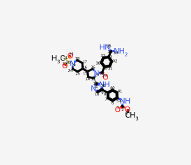 COC(=O)Nc1ccc(-c2cnc([C@@H]3CC(C4CCN(S(C)(=O)=O)CC4)CN3C(=O)c3ccc(C(=N)N)cc3)[nH]2)cc1